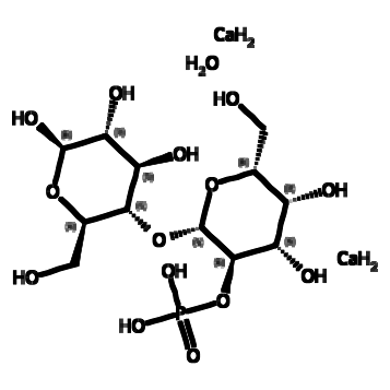 O.O=P(O)(O)O[C@H]1[C@H](O[C@H]2[C@H](O)[C@@H](O)[C@H](O)O[C@@H]2CO)O[C@H](CO)[C@H](O)[C@@H]1O.[CaH2].[CaH2]